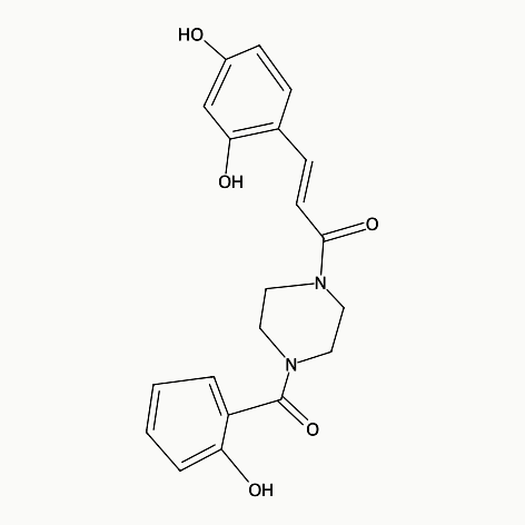 O=C(/C=C/c1ccc(O)cc1O)N1CCN(C(=O)c2ccccc2O)CC1